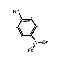 CCN(Br)c1ccc(C#N)cc1